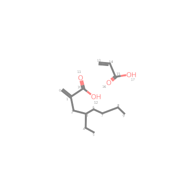 C=C(CC(CC)CCCC)C(=O)O.C=CC(=O)O